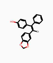 CCC(=C(c1ccccc1)c1ccc(O)cc1)c1ccc2c(c1)OCO2